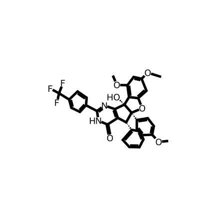 COc1ccc([C@@]23Oc4cc(OC)cc(OC)c4[C@]2(O)c2nc(-c4ccc(C(F)(F)F)cc4)[nH]c(=O)c2[C@H]3c2ccccc2)cc1